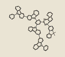 CC1(C)c2ccccc2-c2cc(-c3nc(-c4cc(-n5c6ccccc6c6cc(-c7ccc8c(c7)c7ccccc7n8-c7ccccc7)ccc65)cc(-n5c6ccccc6c6cc(-c7ccc8c(c7)c7ccccc7n8-c7ccccc7)ccc65)c4)nc4c3ccc3ccccc34)ccc21